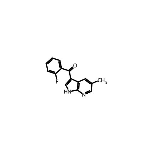 Cc1cnc2[nH]cc(C(=O)c3c[c]ccc3F)c2c1